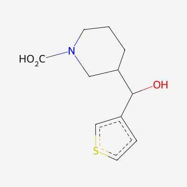 O=C(O)N1CCCC(C(O)c2ccsc2)C1